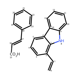 C=Cc1cccc2c1[nH]c1ccccc12.O=C(O)C=Cc1ccccc1